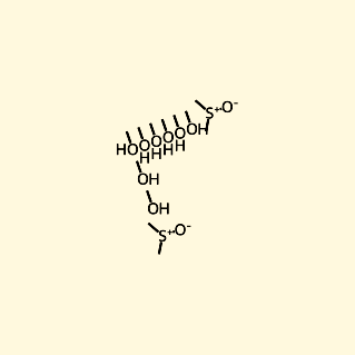 CO.CO.CO.CO.CO.CO.CO.CO.C[S+](C)[O-].C[S+](C)[O-]